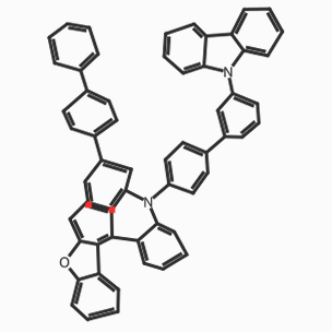 c1ccc(-c2ccc(-c3cccc(N(c4ccc(-c5cccc(-n6c7ccccc7c7ccccc76)c5)cc4)c4ccccc4-c4cccc5oc6ccccc6c45)c3)cc2)cc1